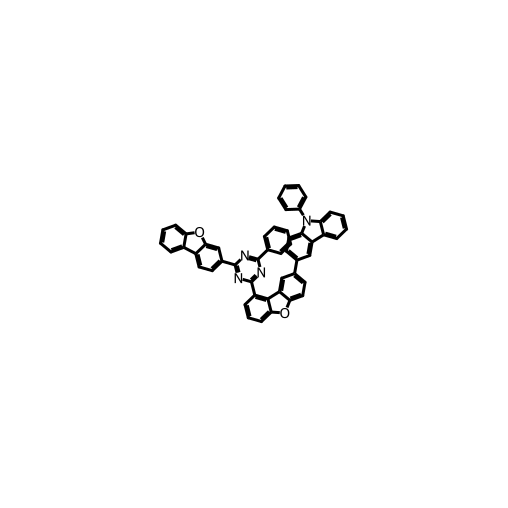 c1ccc(-c2nc(-c3ccc4c(c3)oc3ccccc34)nc(-c3cccc4oc5ccc(-c6ccc7c(c6)c6ccccc6n7-c6ccccc6)cc5c34)n2)cc1